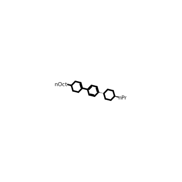 CCCCCCCCC1CC=C(c2ccc([C@H]3CC[C@H](CCC)CC3)cc2)CC1